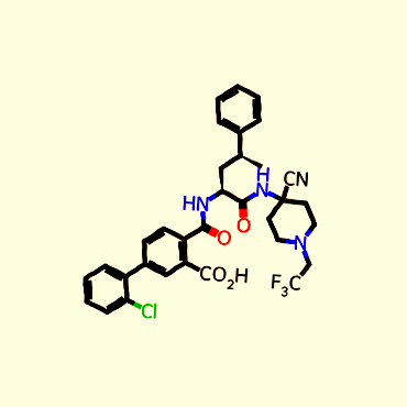 C[C@@H](C[C@H](NC(=O)c1ccc(-c2ccccc2Cl)cc1C(=O)O)C(=O)NC1(C#N)CCN(CC(F)(F)F)CC1)c1ccccc1